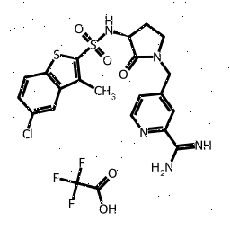 Cc1c(S(=O)(=O)N[C@H]2CCN(Cc3ccnc(C(=N)N)c3)C2=O)sc2ccc(Cl)cc12.O=C(O)C(F)(F)F